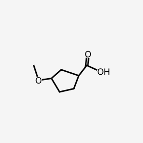 COC1CCC(C(=O)O)C1